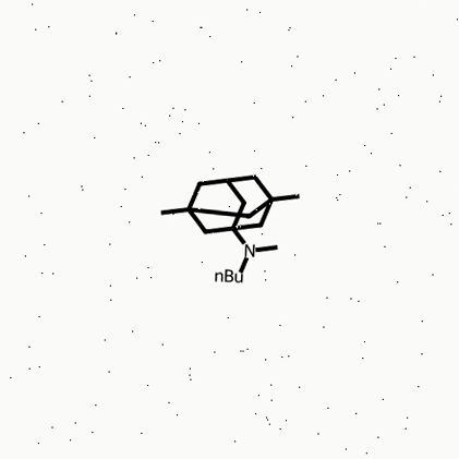 CCCCN(C)C12CC3CC(C)(CC(C)(C3)C1)C2